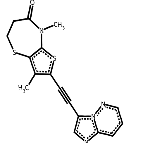 Cc1c(C#Cc2cnc3cccnn23)sc2c1SCCC(=O)N2C